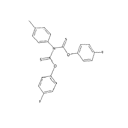 Cc1ccc(N(C(=S)Oc2ccc(F)cc2)C(=S)Oc2ccc(F)cc2)cc1